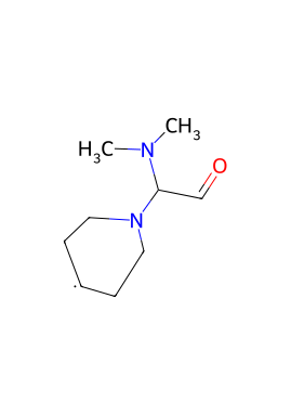 CN(C)C(C=O)N1CC[CH]CC1